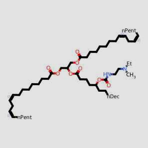 CCCCC/C=C\C/C=C\CCCCCCCC(=O)OCC(COC(=O)CCCCCCC/C=C\C/C=C\CCCCC)OC(=O)CCCC(CCCCCCCCCCCC)OC(=O)NCCN(C)CC